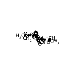 C=C(C)C(=O)OCCOC(=O)C1CCCCC1C(=O)OC1CCC(C(=O)O)C1C(=O)OCCOC(=O)C(=C)C